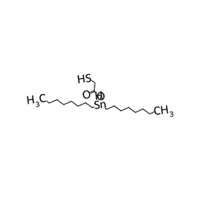 CCCCCCC[CH2][SnH]([CH2]CCCCCCC)[O]C(=O)CS